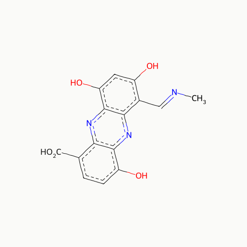 CN=Cc1c(O)cc(O)c2nc3c(C(=O)O)ccc(O)c3nc12